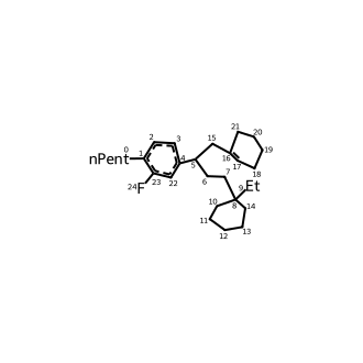 CCCCCc1ccc(C(CCC2(CC)CCCCC2)CC2=CCCCC2)cc1F